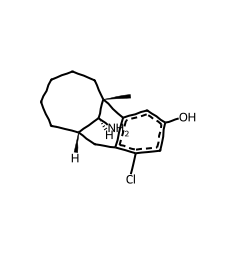 C[C@@]12CCCCC[C@@H](Cc3c(Cl)cc(O)cc31)[C@@H]2N